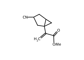 [C-]#[N+]C1CC2CC2(C(=C)C(=O)OC)C1